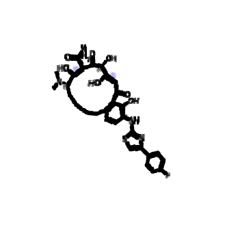 CN(C)[C@H]1CCCCc2ccc(Nc3nc(-c4ccc(F)cc4)cs3)c(O)c2C(=O)/C=C(\O)[C@H](O)C(=O)/C(C(N)=O)=C\1O